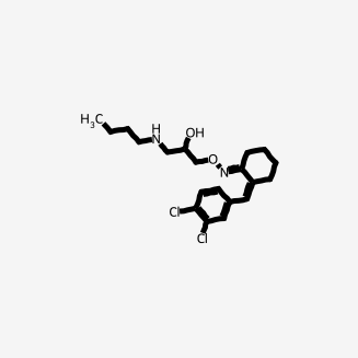 CCCCNCC(O)CON=C1CCCCC1=Cc1ccc(Cl)c(Cl)c1